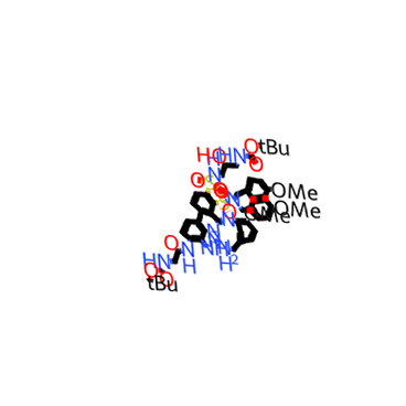 COc1ccc(CN(Cc2ccc(OC)cc2)S(=O)(=O)c2c(S(=O)(=O)NC[C@H](O)CNC(=O)OC(C)(C)C)ccc(-c3ccc(NC(=O)CNC(=O)OC(C)(C)C)c(N)c3)c2C2=N/c3cc(ccc3OC)CN/N=N\2)cc1